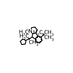 CN1CCCC2c3c(cccc3C(C)(C)C)C(C(C)(C)C3CCCC3)C21